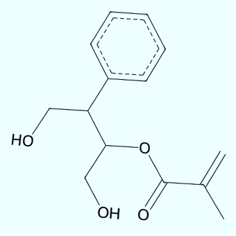 C=C(C)C(=O)OC(CO)C(CO)c1ccccc1